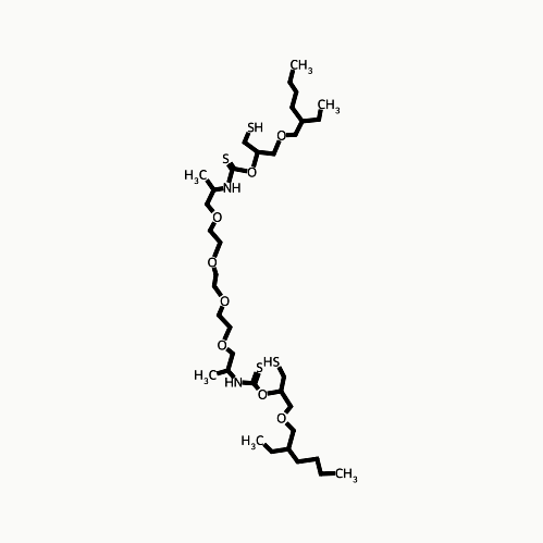 CCCCC(CC)COCC(CS)OC(=S)NC(C)COCCOCCOCCOCC(C)NC(=S)OC(CS)COCC(CC)CCCC